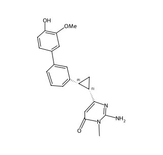 COc1cc(-c2cccc([C@@H]3C[C@@H]3c3cc(=O)n(C)c(N)n3)c2)ccc1O